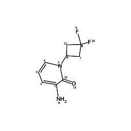 Nc1cccn(C2CC(F)(F)C2)c1=O